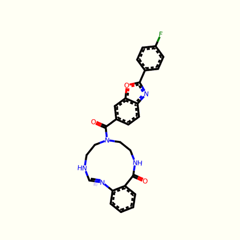 O=C1NCCN(C(=O)c2ccc3nc(-c4ccc(F)cc4)oc3c2)CCN/C=N/c2ccccc21